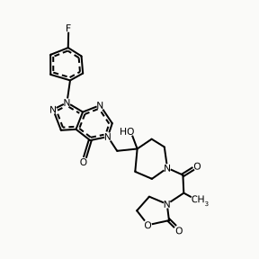 CC(C(=O)N1CCC(O)(Cn2cnc3c(cnn3-c3ccc(F)cc3)c2=O)CC1)N1CCOC1=O